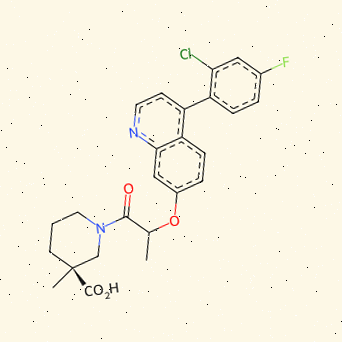 CC(Oc1ccc2c(-c3ccc(F)cc3Cl)ccnc2c1)C(=O)N1CCC[C@](C)(C(=O)O)C1